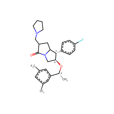 C[C@@H](O[C@H]1CN2C(=O)C(CN3CCCC3)CC2[C@@H]1c1ccc(F)cc1)c1cc(C(F)(F)F)cc(C(F)(F)F)c1